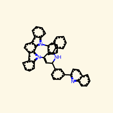 C1=C(c2ccccc2)NC(c2cccc(-c3ccc4ccccc4n3)c2)C=C1n1c2ccccc2c2ccc3c4ccccc4n(-c4ccccc4)c3c21